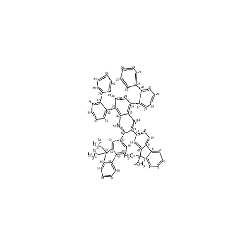 CC1(C)c2ccccc2-c2ccc(-c3nc4c(-c5ccccc5-c5ccccc5)ccc(-c5ccccc5-c5ccccc5)c4nc3-c3ccc4c(c3)C(C)(C)c3ccccc3-4)cc21